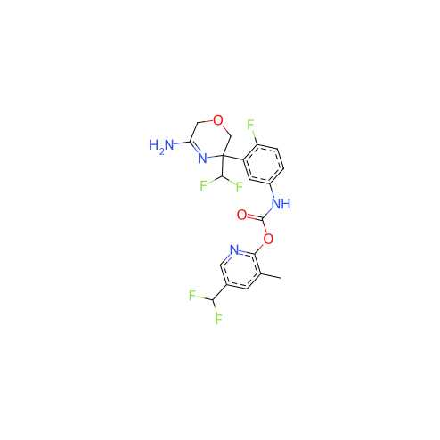 Cc1cc(C(F)F)cnc1OC(=O)Nc1ccc(F)c(C2(C(F)F)COCC(N)=N2)c1